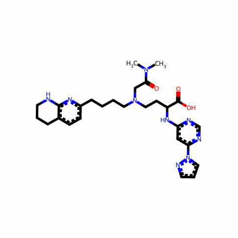 CN(C)C(=O)CN(CCCCc1ccc2c(n1)NCCC2)CCC(Nc1cc(-n2cccn2)ncn1)C(=O)O